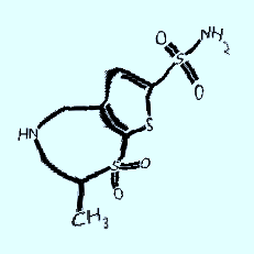 CC1CNCc2cc(S(N)(=O)=O)sc2S1(=O)=O